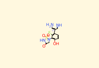 N=C/C(=C\N)c1ccc(O)c(N2CC(=O)NS2(=O)=O)c1F